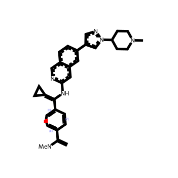 C=C(NC)C(/C=C\C(=C/C)C(Nc1cc2cc(-c3cnn(C4CCN(C)CC4)c3)ccc2cn1)=C1CC1)=C/C